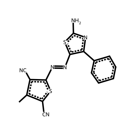 Cc1c(C#N)sc(/N=N/c2sc(N)nc2-c2ccccc2)c1C#N